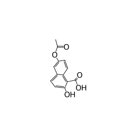 CC(=O)Oc1ccc2c(C(=O)O)c(O)ccc2c1